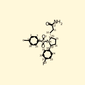 Cc1ccc(S(=O)(=O)N2[C@H](CCC(N)=O)CC[C@H]2c2ccc(F)cc2)cc1